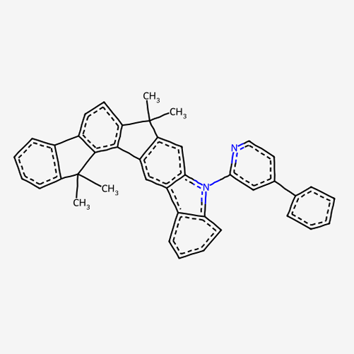 CC1(C)c2cc3c(cc2-c2c1ccc1c2C(C)(C)c2ccccc2-1)c1ccccc1n3-c1cc(-c2ccccc2)ccn1